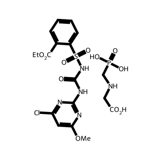 CCOC(=O)c1ccccc1S(=O)(=O)NC(=O)Nc1nc(Cl)cc(OC)n1.O=C(O)CNCP(=O)(O)O